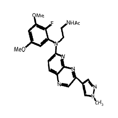 COc1cc(OC)c(F)c(N(CCNC(C)=O)c2ccc3ncc(-c4cnn(C)c4)nc3n2)c1